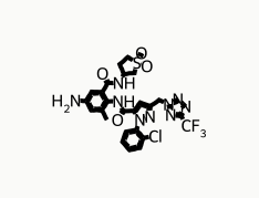 Cc1cc(N)cc(C(=O)NC2CCS(=O)(=O)C2)c1NC(=O)c1cc(Cn2nnc(C(F)(F)F)n2)nn1-c1ccccc1Cl